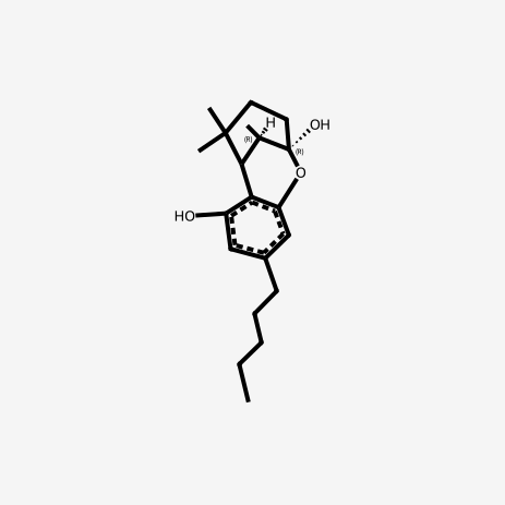 CCCCCc1cc(O)c2c(c1)O[C@]1(O)CCC(C)(C)C2[C@H]1C